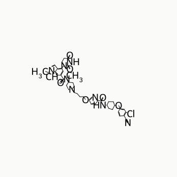 CC(C)n1ccc2c(N3CCC(=O)NC3=O)cc(C(=O)N(C)C3CCN(CCCCOc4ccc(C(=O)N[C@H]5CC[C@H](Oc6ccc(C#N)c(Cl)c6)CC5)nc4)CC3)cc21